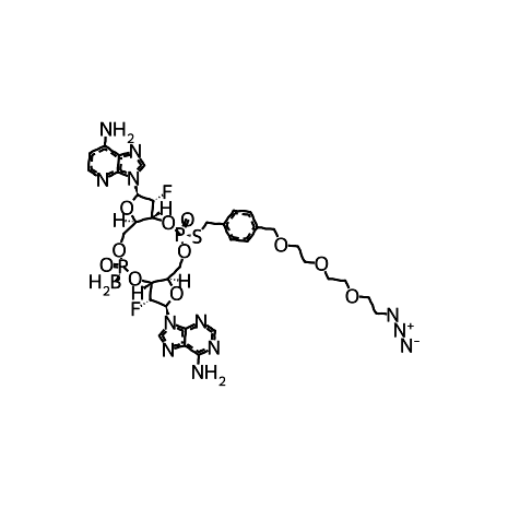 B[P@@]1(=O)OC[C@H]2O[C@@H](n3cnc4c(N)ccnc43)[C@H](F)[C@@H]2O[P@](=O)(SCc2ccc(COCCOCCOCCN=[N+]=[N-])cc2)OC[C@H]2O[C@@H](n3cnc4c(N)ncnc43)[C@H](F)[C@@H]2O1